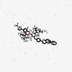 COC(=O)NC(C(=O)NC(Cc1ccc(-c2ccc3nc(N4CC5CCC(C4)N5C4COC4)ccc3n2)cc1)C(O)CN(Cc1c(F)cc(-c2ccn(C(F)F)n2)cc1F)NC(=O)C(NC(=O)O)C(C)(C)C(F)(F)F)C(C)(C)C(F)(F)F